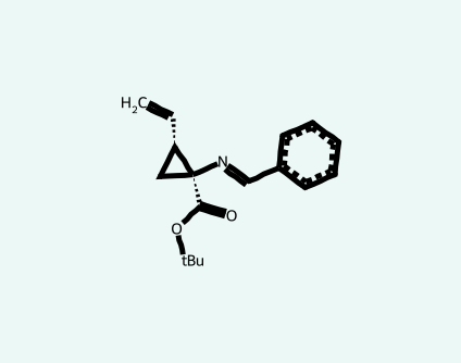 C=C[C@H]1C[C@@]1(/N=C/c1ccccc1)C(=O)OC(C)(C)C